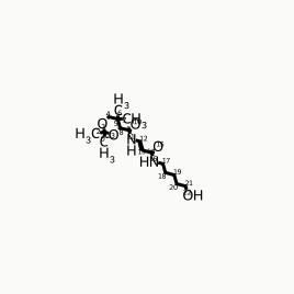 CC1(C)OCC(C)(C)C(C(=O)NC=CC(=O)NCCCCCO)O1